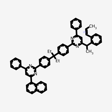 C/C=C\c1ccccc1C(C)c1cc(-c2ccccc2)nc(-c2ccc(C(CC)(CC)c3ccc(-c4nc(-c5ccccc5)cc(-c5cccc6ccccc56)n4)cc3)cc2)n1